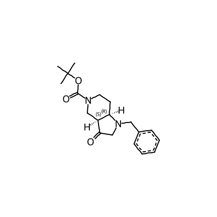 CC(C)(C)OC(=O)N1CC[C@@H]2[C@H](C1)C(=O)CN2Cc1ccccc1